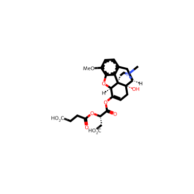 COc1ccc2c3c1O[C@@H]1C(OC(=O)[C@H](CC(=O)O)OC(=O)CCC(=O)O)=CC[C@]4(O)[C@H](C2)N(C)CC[C@@]314